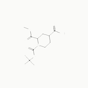 COC(=O)C1CC(C(=O)O)CCN1C(=O)OC(C)(C)C